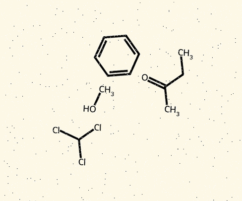 CCC(C)=O.CO.ClC(Cl)Cl.c1ccccc1